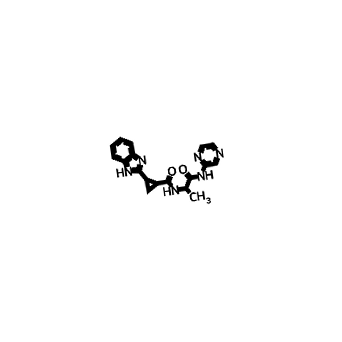 CC(NC(=O)C1CC1c1nc2ccccc2[nH]1)C(=O)Nc1cnccn1